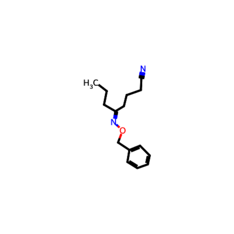 CCCC(CCCC#N)=NOCc1ccccc1